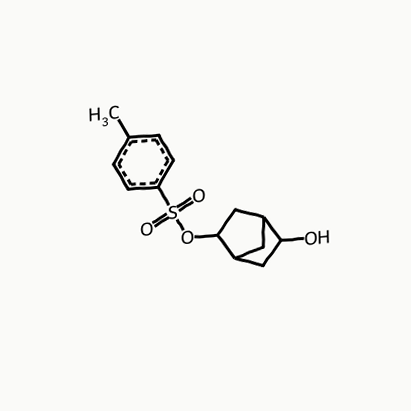 Cc1ccc(S(=O)(=O)OC2CC3CC2CC3O)cc1